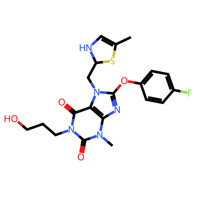 CC1=CNC(Cn2c(Oc3ccc(F)cc3)nc3c2c(=O)n(CCCO)c(=O)n3C)S1